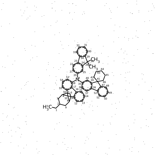 CCC1CC2CCCC(C1)C21c2ccccc2-c2c(N(c3ccc4c(c3)C(C)(C)c3ccccc3-4)c3ccc4c(c3)C3(CCCCC3)c3ccccc3-4)cccc21